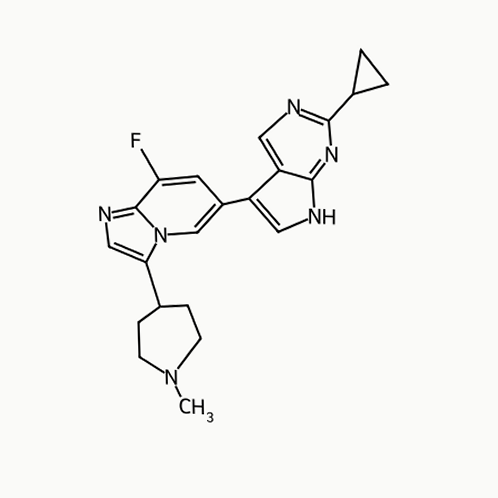 CN1CCC(c2cnc3c(F)cc(-c4c[nH]c5nc(C6CC6)ncc45)cn23)CC1